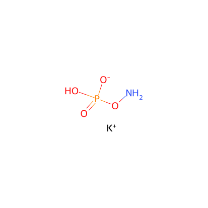 NOP(=O)([O-])O.[K+]